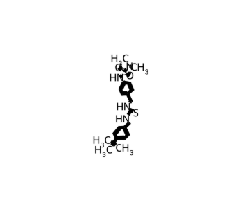 CN(C)S(=O)(=O)Nc1ccc(CNC(=S)NCc2ccc(C(C)(C)C)cc2)cc1